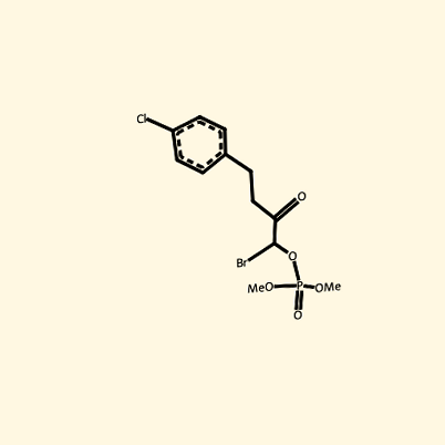 COP(=O)(OC)OC(Br)C(=O)CCc1ccc(Cl)cc1